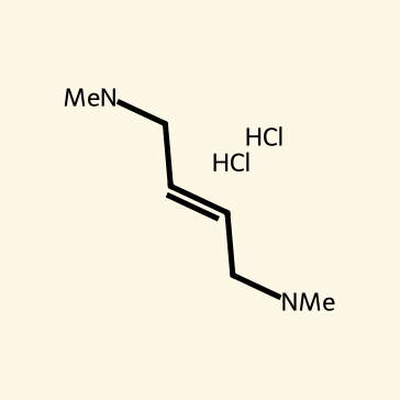 CNCC=CCNC.Cl.Cl